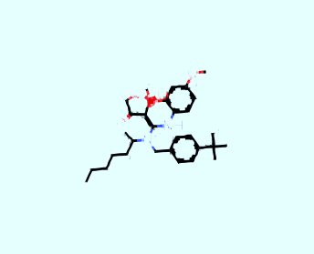 CCCCCC(C)N(Cc1ccc(C(C)(C)C)cc1)/C(Nc1ccc(OC)cc1OC)=C1\C(=O)COC1=O